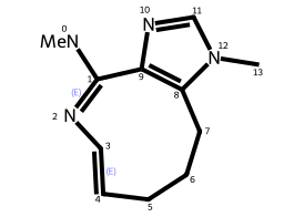 CN/C1=N/C=C/CCCc2c1ncn2C